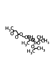 CC(C)[O][Ti]([O]C(C)C)[O]C(C)C.CCOC(=O)CC(C)=O